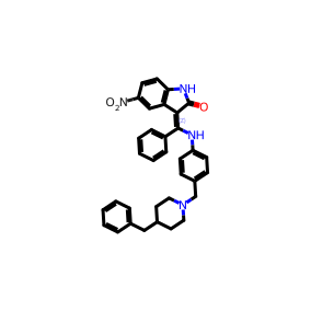 O=C1Nc2ccc([N+](=O)[O-])cc2/C1=C(/Nc1ccc(CN2CCC(Cc3ccccc3)CC2)cc1)c1ccccc1